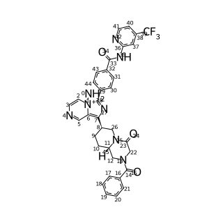 N[N+]12C=CN=CC1=C([C@@H]1CC[C@H]3CN(C(=O)c4ccccc4)CC(=O)N3C1)N=C2c1ccc(C(=O)Nc2cc(C(F)(F)F)ccn2)cc1